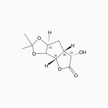 CC1(C)OC2[C@H](C[C@@H]3[C@H](O)C(=O)O[C@H]23)O1